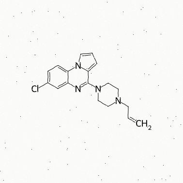 C=CCN1CCN(c2nc3cc(Cl)ccc3n3cccc23)CC1